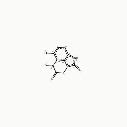 CN1C(=O)Cn2c(=O)[nH]c3ccc(Cl)c1c32